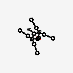 C#Cc1cc(-c2c(-c3ccc(C#Cc4ccccc4)cc3)oc(-c3ccc(C#Cc4ccccc4)cc3)c2-c2ccccc2)cc(-c2c(-c3ccc(C#Cc4ccccc4)cc3)oc(-c3ccc(C#Cc4ccccc4)cc3)c2-c2ccccc2)c1